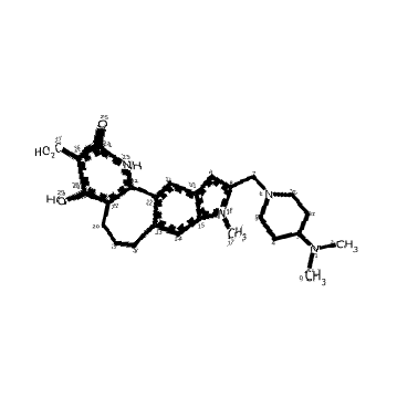 CN(C)C1CCN(Cc2cc3cc4c(cc3n2C)CCCc2c-4[nH]c(=O)c(C(=O)O)c2O)CC1